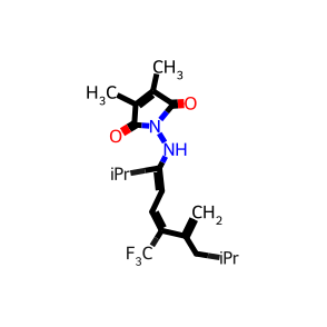 C=C(CC(C)C)/C(=C\C=C(\NN1C(=O)C(C)=C(C)C1=O)C(C)C)C(F)(F)F